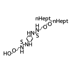 CCCCCCCC(CCCCCCC)OCOCCNC(=S)Nc1ccc(NC(=S)NCCOCO)cc1